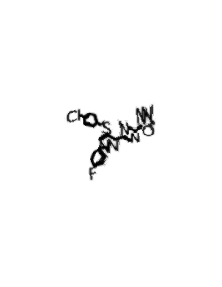 Fc1ccc(-n2cc(Sc3ccc(Cl)cc3)c(-c3cnc(-c4nnco4)cn3)n2)cc1